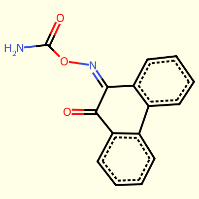 NC(=O)ON=C1C(=O)c2ccccc2-c2ccccc21